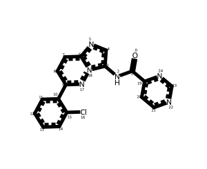 O=C(Nc1cnc2ccc(-c3ccccc3Cl)nn12)c1ccncn1